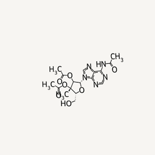 CC(=O)Nc1ncnc2c1ncn2[C@@H]1O[C@H](CO)[C@](C)(OC(C)=O)C1OC(C)=O